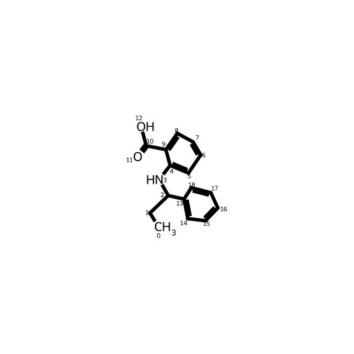 CCC(Nc1ccccc1C(=O)O)c1ccccc1